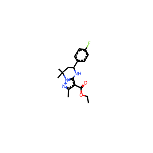 CCOC(=O)c1c(C)nn2c1NC(c1ccc(F)cc1)CC2(C)C